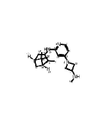 CNC1CN(c2ccnc(NC3C[C@H]4C[C@@H](C3C)C4(C)C)c2)C1